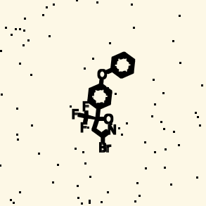 FC(F)(F)[C@]1(c2ccc(Oc3ccccc3)cc2)CC(Br)=NO1